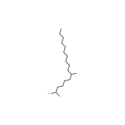 [CH2]C(C)CCCCC(C)CCCCCCCCCC